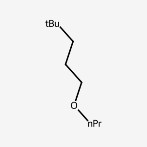 CCCOCCCC(C)(C)C